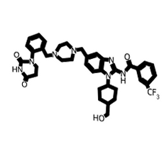 O=C1CCN(c2ccccc2CN2CCN(Cc3ccc4c(c3)nc(NC(=O)c3cccc(C(F)(F)F)c3)n4C3CCC(CO)CC3)CC2)C(=O)N1